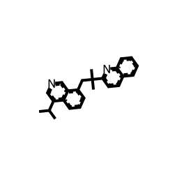 CC(C)c1cncc2c(CC(C)(C)c3ccc4ccccc4n3)cccc12